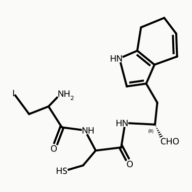 NC(CI)C(=O)NC(CS)C(=O)N[C@@H](C=O)Cc1c[nH]c2c1C=CCC2